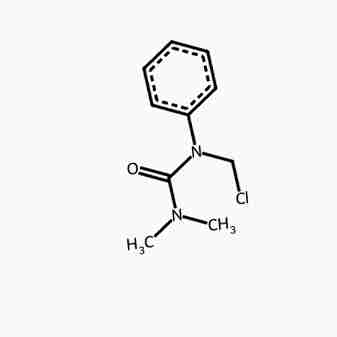 CN(C)C(=O)N(CCl)c1ccccc1